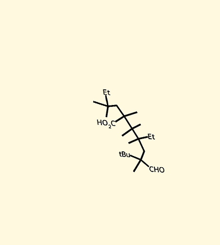 CCC(C)(C)CC(C)(C(=O)O)C(C)(C)C(C)(CC)CC(C)(C=O)C(C)(C)C